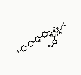 CCC[C@H]1CC[C@H](C2CCN(c3cnc(-c4ccc(CC(NC(=O)c5ccc(C(C)(C)C)s5)C(=O)NS(=O)(=O)CCN(C)C)cc4)nc3)CC2)CC1